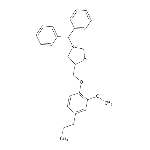 CCCc1ccc(OCC2CN(C(c3ccccc3)c3ccccc3)CO2)c(OC)c1